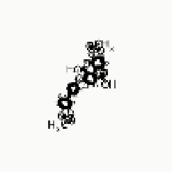 CS(=O)(=O)Oc1cccc(-c2ccc(Oc3ccc(C(=O)O)c(-c4cccc(OS(C)(=O)=O)c4)c3C(=O)O)cc2)c1